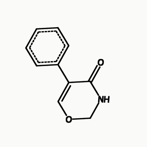 O=C1NCOC=C1c1ccccc1